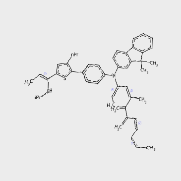 C=C(/C=C\C=C/C)C(=C)/C(C)=C\C(=C/C)N(c1ccc(-c2sc(/C(BC(C)C)=C/C)cc2CCC)cc1)c1ccc2c(c1)C(C)(C)c1ccccc1-2